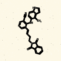 Cc1c(Nc2c(C#N)cncc2C=CCCN2C(=O)c3ccccc3C2=O)ccc2[nH]ccc12